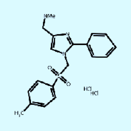 CNCc1cn(CS(=O)(=O)c2ccc(C)cc2)c(-c2ccccc2)n1.Cl.Cl